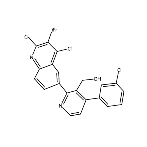 CC(C)c1c(Cl)nc2ccc(-c3nccc(-c4cccc(Cl)c4)c3CO)cc2c1Cl